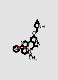 COc1ccc(CN2C3CC2CN(c2ccc(-c4cc(OCC5CC6CC6N5)cn5ncc(C#N)c45)cn2)C3)cn1